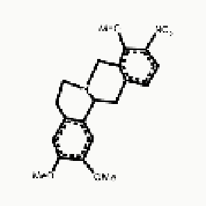 COc1cc2c(cc1OC)C1Cc3ccc([N+](=O)[O-])c(OC)c3CN1CC2